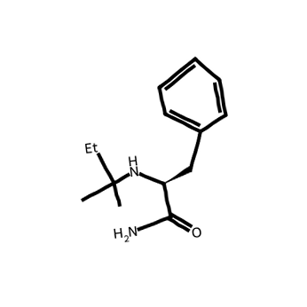 CCC(C)(C)N[C@@H](Cc1ccccc1)C(N)=O